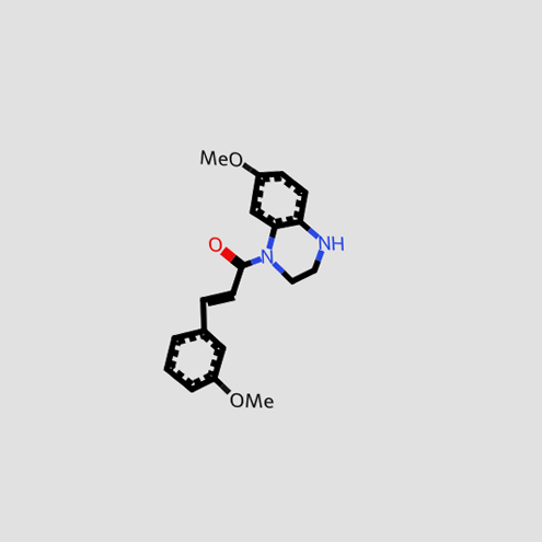 COc1cccc(C=CC(=O)N2CCNc3ccc(OC)cc32)c1